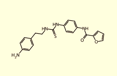 Nc1ccc(CCNC(=S)Nc2ccc(NC(=O)c3ccco3)cc2)cc1